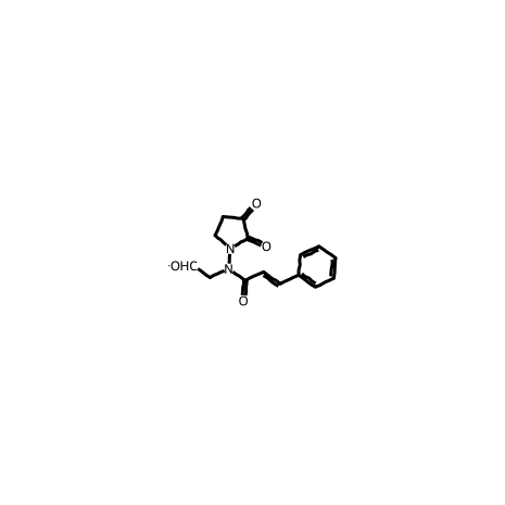 O=[C]CN(C(=O)C=Cc1ccccc1)N1CCC(=O)C1=O